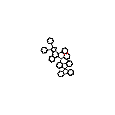 c1ccc(-c2nn3c(-c4ccccc4)c(N(c4ccccc4)c4cccc5c4-c4ccccc4C54c5ccccc5-c5ccccc54)c4ccccc4c3c2-c2ccccc2)cc1